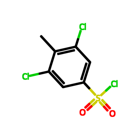 Cc1c(Cl)cc(S(=O)(=O)Cl)cc1Cl